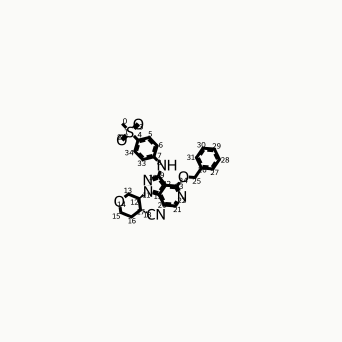 CS(=O)(=O)c1ccc(Nc2nn([C@@H]3COCC[C@H]3C#N)c3ccnc(OCc4ccccc4)c23)cc1